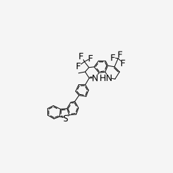 CC1C(c2ccc(-c3ccc4sc5ccccc5c4c3)cc2)=Nc2c(ccc3c2NCC=C3C(F)(F)F)C1C(F)(F)F